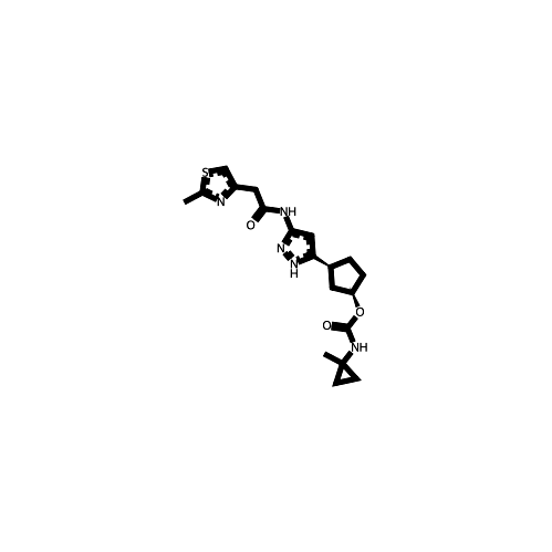 Cc1nc(CC(=O)Nc2cc([C@H]3CC[C@@H](OC(=O)NC4(C)CC4)C3)[nH]n2)cs1